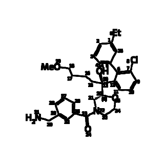 CCc1cccc(-c2c(Cl)cccc2[C@@](O)(CCCCOC)[C@H]2CN(C(=O)c3cccc(CN)c3)CCO2)c1